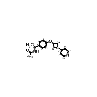 [3H]C(=O)N[C@@H](C)c1ccc(OC2CN(c3ccncc3)C2)cc1